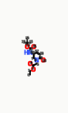 CCOC(=O)Cn1cc(NC(=O)OC(C)(C)C)ccc1=O